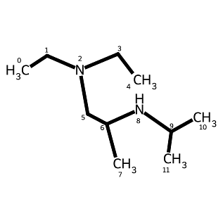 CCN(CC)CC(C)NC(C)C